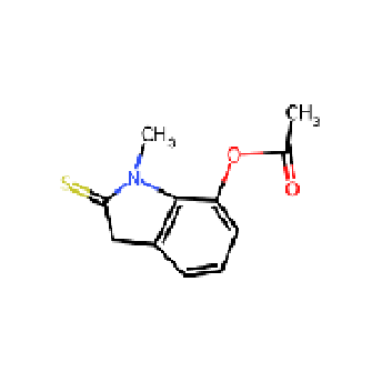 CC(=O)Oc1cccc2c1N(C)C(=S)C2